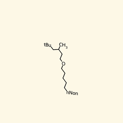 CCCCCCCCCCCCCCOCCC(C)CC(C)(C)C